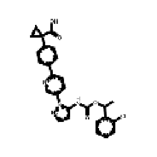 CC(OC(=O)Nc1ccnn1-c1ccc(-c2ccc(C3(C(=O)O)CC3)cc2)nc1)c1ccccc1Cl